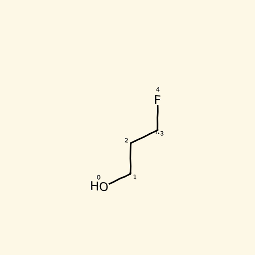 OCC[C]F